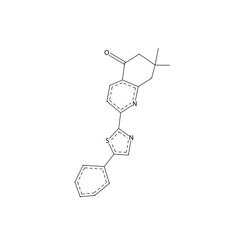 CC1(C)CC(=O)c2ccc(-c3ncc(-c4ccccc4)s3)nc2C1